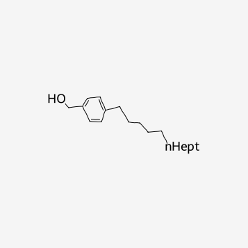 CCCCCCCCCCCCc1ccc(CO)cc1